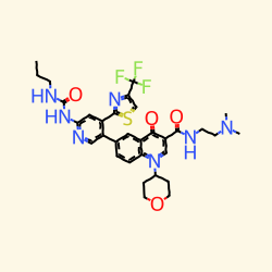 CCCNC(=O)Nc1cc(-c2nc(C(F)(F)F)cs2)c(-c2ccc3c(c2)c(=O)c(C(=O)NCCN(C)C)cn3C2CCOCC2)cn1